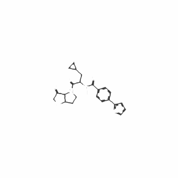 O=C(NC(CC1CC1)C(=O)N1CCC2OCC(=O)C21)c1ccc(-c2cccs2)cc1